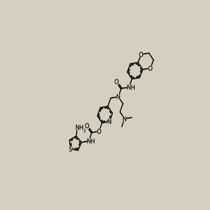 CN(C)CCN(Cc1ccc(OC(=O)Nc2cscc2N)nc1)C(=O)Nc1ccc2c(c1)OCCO2